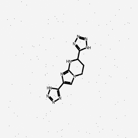 c1c(-c2nnn[nH]2)nc2n1CCC(c1nnn[nH]1)N2